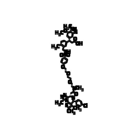 COc1cc(C(CC(=O)O)c2ccc(C)c(CNS(=O)(=O)c3ccc(OCCOCCOCCN(C)C(=O)C[C@@H]4N=C(c5ccc(Cl)cc5)c5c(sc(C)c5C)-n5c(C)nnc54)cc3)c2)cc2nnn(C)c12